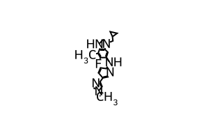 Cc1c(F)c(Nc2ccc(-c3cn(C)cn3)cn2)cc2c1NCN2CC1CC1